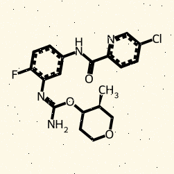 C[C@H]1COCCC1O/C(N)=N\c1cc(NC(=O)c2ccc(Cl)cn2)ccc1F